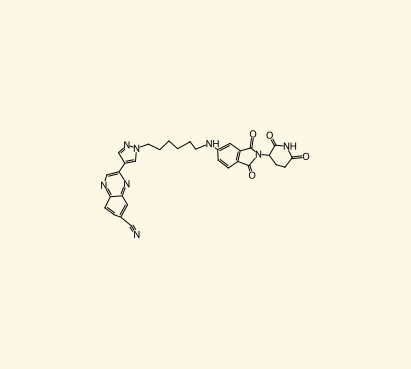 N#Cc1ccc2ncc(-c3cnn(CCCCCCNc4ccc5c(c4)C(=O)N(C4CCC(=O)NC4=O)C5=O)c3)nc2c1